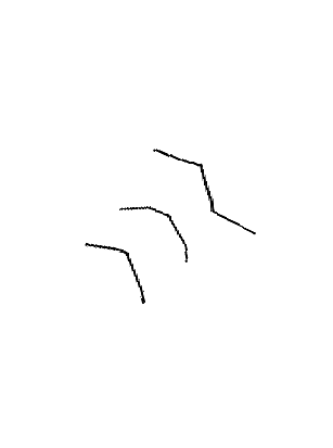 CCC.CCC.CCCC